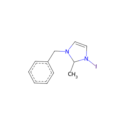 CC1N(I)C=CN1Cc1ccccc1